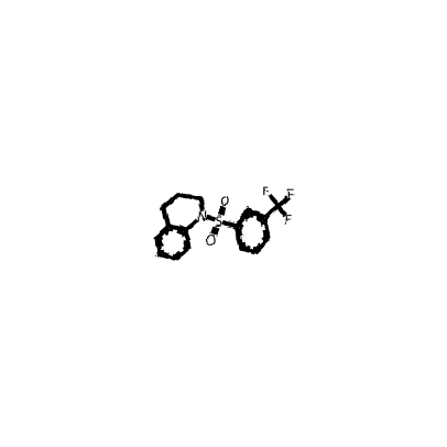 O=S(=O)(c1cccc(C(F)(F)F)c1)N1CCCc2c[c]ccc21